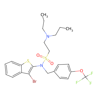 CCCN(CCC)CCS(=O)(=O)N(Cc1ccc(OC(F)(F)F)cc1)c1sc2ccccc2c1Br